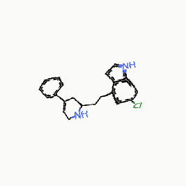 Clc1cc(CCC2CC(c3ccccc3)=CCN2)c2cc[nH]c2c1